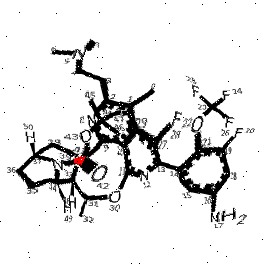 Cc1c(CCN(C)C)nc2c3c(nc(-c4cc(N)cc(F)c4OC(F)(F)F)c(F)c13)O[C@@H](C)[C@@H]1[C@@H]3CC[C@H](CN21)N3C(=O)OC(C)(C)C